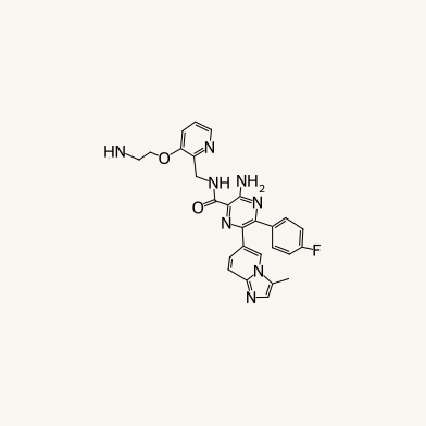 CNCCOc1cccnc1CNC(=O)c1nc(-c2ccc3ncc(C)n3c2)c(-c2ccc(F)cc2)nc1N